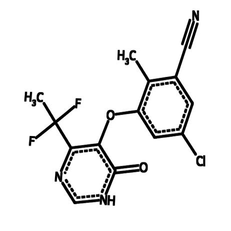 Cc1c(C#N)cc(Cl)cc1Oc1c(C(C)(F)F)nc[nH]c1=O